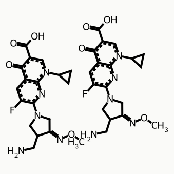 CO/N=C1\CN(c2nc3c(cc2F)c(=O)c(C(=O)O)cn3C2CC2)CC1CN.CO/N=C1\CN(c2nc3c(cc2F)c(=O)c(C(=O)O)cn3C2CC2)CC1CN